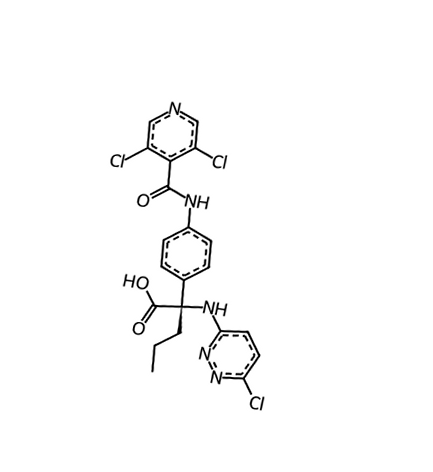 CCC[C@@](Nc1ccc(Cl)nn1)(C(=O)O)c1ccc(NC(=O)c2c(Cl)cncc2Cl)cc1